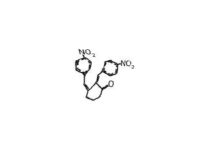 O=C1CCCC(=Cc2ccc([N+](=O)[O-])cc2)C1=Cc1ccc([N+](=O)[O-])cc1